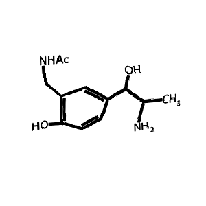 CC(=O)NCc1cc(C(O)C(C)N)ccc1O